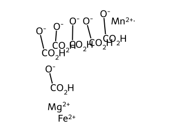 O=C([O-])O.O=C([O-])O.O=C([O-])O.O=C([O-])O.O=C([O-])O.O=C([O-])O.[Fe+2].[Mg+2].[Mn+2]